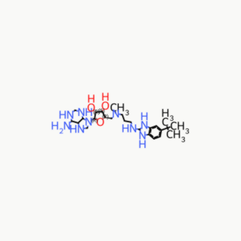 CN(CCCNC1Nc2ccc(C(C)(C)C)cc2N1)C[C@H]1O[C@@H](N2CNC3C(N)NCNC32)[C@H](O)[C@@H]1O